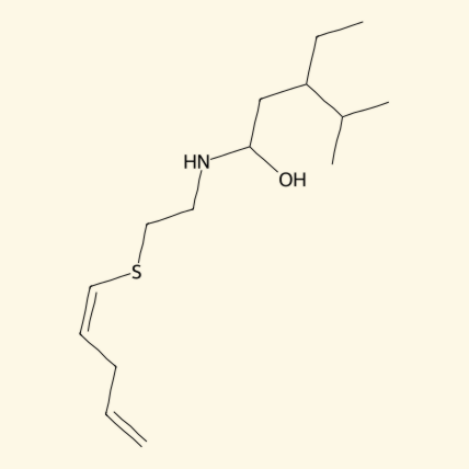 C=CC/C=C\SCCNC(O)CC(CC)C(C)C